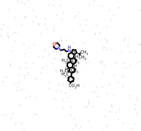 C=C(C)[C@@H]1CC[C@]2(NCCCN3CCOCC3)CC[C@]3(C)[C@H](CC[C@@H]4[C@@]5(C)CC=C(c6ccc(C(=O)O)cc6)C(C)(C)[C@@H]5CC[C@]43C)[C@@H]12